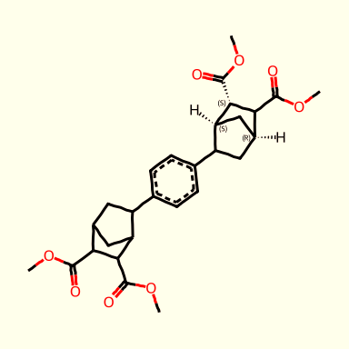 COC(=O)C1C2CC(c3ccc(C4C[C@H]5C[C@@H]4[C@H](C(=O)OC)C5C(=O)OC)cc3)C(C2)C1C(=O)OC